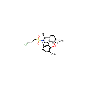 CC(=O)Oc1ccc2c3c1O[C@H]1[C@@H](OC(C)=O)C=CC4[C@@H](C2)N(S(=O)(=O)CCCCl)CC[C@@]341